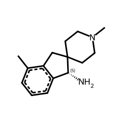 Cc1cccc2c1CC1(CCN(C)CC1)[C@@H]2N